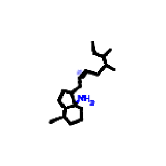 CCC(C)C(C)C/C=C\CC1CCC2C(C)CCCC12N